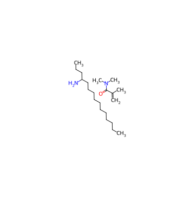 C=C(C)C(=O)N(C)C.CCCCCCCCCCCC(N)CCC